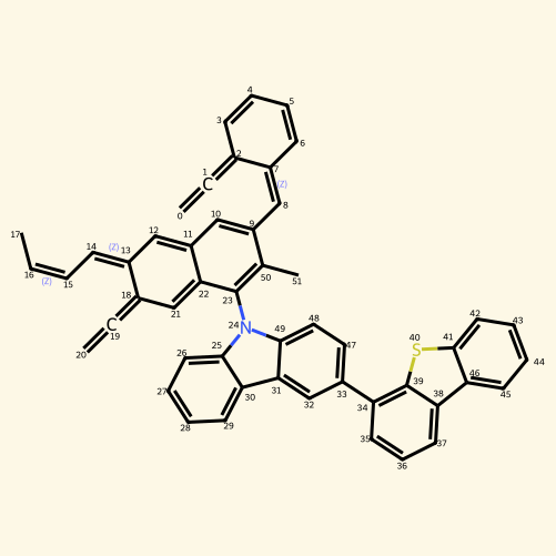 C=C=c1cccc/c1=C/c1cc2c/c(=C/C=C\C)c(=C=C)cc2c(-n2c3ccccc3c3cc(-c4cccc5c4sc4ccccc45)ccc32)c1C